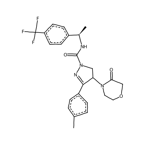 Cc1ccc(C2=NN(C(=O)N[C@H](C)c3ccc(C(F)(F)F)cc3)CC2N2CCOCC2=O)cc1